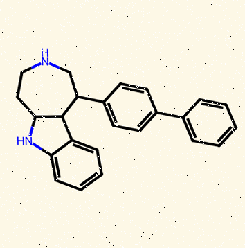 c1ccc(-c2ccc(C3CNCCC4Nc5ccccc5C43)cc2)cc1